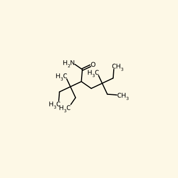 CCC(C)(CC)CC(C(N)=O)C(C)(CC)CC